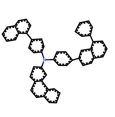 c1ccc(-c2cccc3ccc(-c4ccc(N(c5ccc(-c6cccc7ccccc67)cc5)c5ccc6ccc7ccccc7c6c5)cc4)cc23)cc1